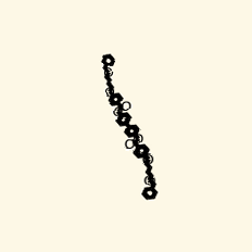 O=C(Oc1ccc(-c2ccc(OC(=O)c3ccc(OCCCCOCC4CC=CCC4)cc3)cc2)cc1)c1ccc(OCCCCOCC2CC=CCC2)cc1